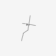 CC[CH2][Au]([CH3])([CH3])[CH3]